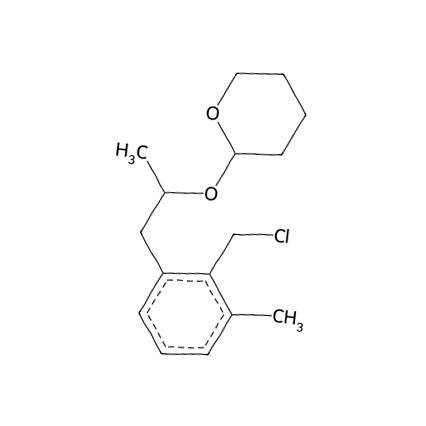 Cc1cccc(CC(C)OC2CCCCO2)c1CCl